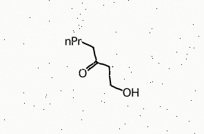 CCCCC(=O)[CH]CO